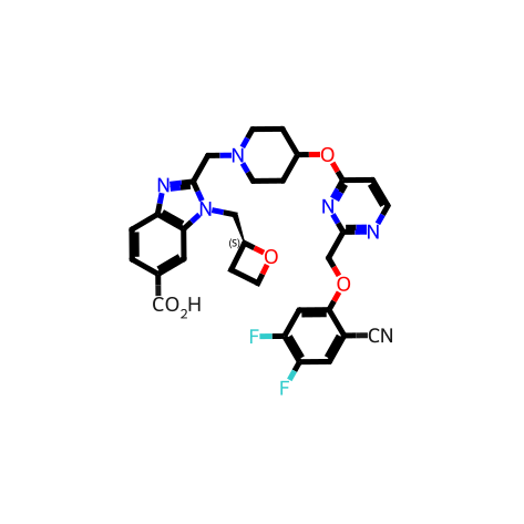 N#Cc1cc(F)c(F)cc1OCc1nccc(OC2CCN(Cc3nc4ccc(C(=O)O)cc4n3C[C@@H]3CCO3)CC2)n1